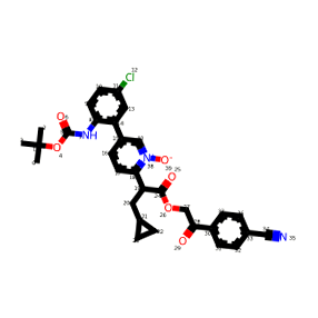 CC(C)(C)OC(=O)Nc1ccc(Cl)cc1-c1ccc(C(CC2CC2)C(=O)OCC(=O)c2ccc(C#N)cc2)[n+]([O-])c1